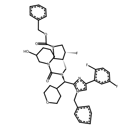 O=C(OCc1ccccc1)N1C[C@@H](CN(C(=O)N2CCCC(O)C2)[C@@H](c2nc(-c3cc(F)ccc3F)cn2Cc2ccccc2)C2CCOCC2)[C@@H](F)C1